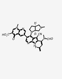 C=C(F)/C=C(\c1[nH]c2ncc(-c3cnc4c(c3)c(=O)c(C(=O)O)cn4C)c(N3CC[C@H]4CN(C)C[C@H]43)c2c1C#N)N(C)C=O